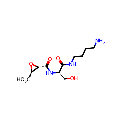 NCCCCNC(=O)[C@H](CO)NC(=O)[C@H]1O[C@@H]1C(=O)O